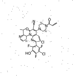 C=CC(=O)N1[C@H](C)CN(c2c(C#N)c(=O)n(C3C(C(C)C)=NC=C[C@H]3C)c3nc(-c4c(F)c(O)c(F)c(Cl)c4F)c(Cl)cc23)C[C@@H]1C